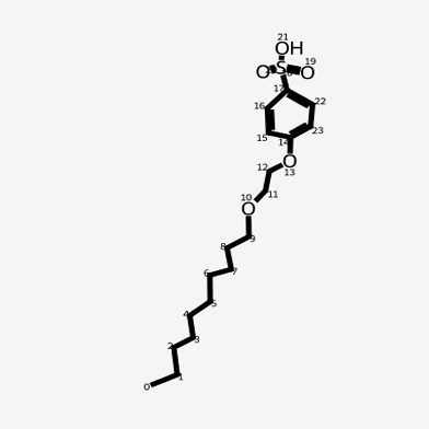 CCCCCCCCCCOCCOc1ccc(S(=O)(=O)O)cc1